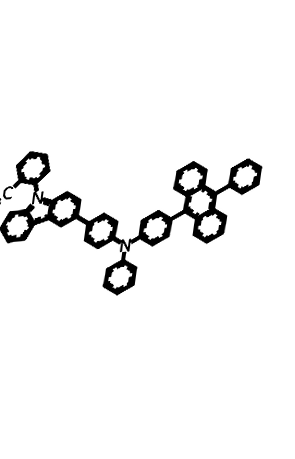 Cc1ccccc1-n1c2ccccc2c2cc(-c3ccc(N(c4ccccc4)c4ccc(-c5c6ccccc6c(-c6ccccc6)c6ccccc56)cc4)cc3)ccc21